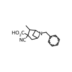 CC1C2CC(CC1(C#N)C(=O)O)N2Cc1ccccc1